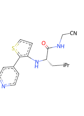 CC(C)C[C@H](Nc1ccsc1-c1ccncc1)C(=O)NCC#N